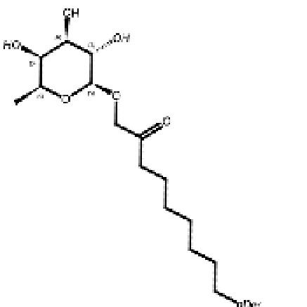 CCCCCCCCCCCCCCCCCC(=O)CO[C@H]1O[C@@H](C)[C@@H](O)[C@@H](O)[C@@H]1O